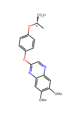 COc1cc2ncc(Oc3ccc(O[C@H](C)C(=O)O)cc3)nc2cc1OC